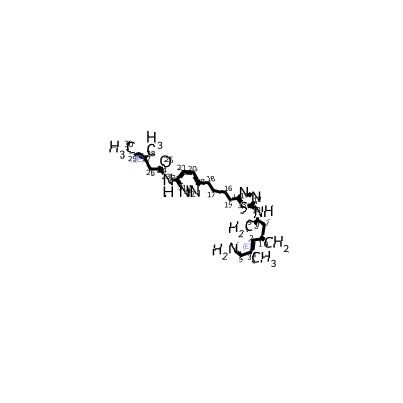 C=C(/C=C(\C)CN)CC(=C)Nc1nnc(CCCCc2ccc(NC(=O)C/C(C)=C/C)nn2)s1